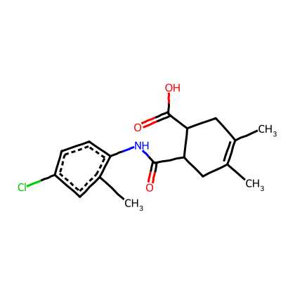 CC1=C(C)CC(C(=O)Nc2ccc(Cl)cc2C)C(C(=O)O)C1